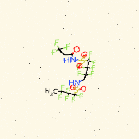 CC(F)(F)C(F)(F)C(F)(F)S(=O)(=O)NCC(F)(F)C(F)(F)C(F)(F)S(=O)(=O)NC(=O)CC(F)(F)F